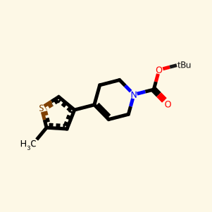 Cc1cc(C2=CCN(C(=O)OC(C)(C)C)CC2)cs1